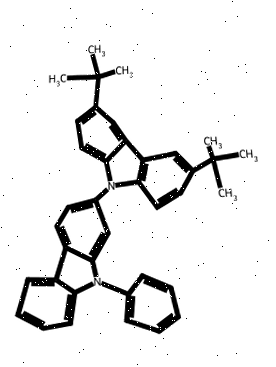 CC(C)(C)c1ccc2c(c1)c1cc(C(C)(C)C)ccc1n2-c1ccc2c3ccccc3n(-c3ccccc3)c2c1